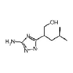 CC(C)CC(CO)C1=NC(N)=N[N]1